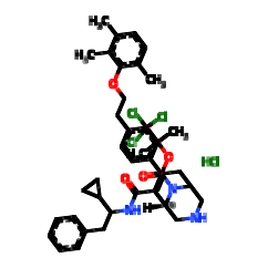 Cc1ccc(C)c(OCCc2ccc(C3=C(C(=O)NC(Cc4ccccc4)C4CC4)[C@H]4CNCC(C3)N4C(=O)OC(C)(C)C(Cl)(Cl)Cl)cc2)c1C.Cl